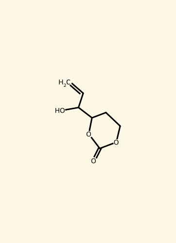 C=CC(O)C1CCOC(=O)O1